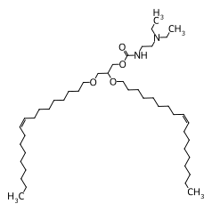 CCCCCCCC/C=C\CCCCCCCCOCC(COC(=O)NCCN(CC)CC)OCCCCCCCC/C=C\CCCCCCCC